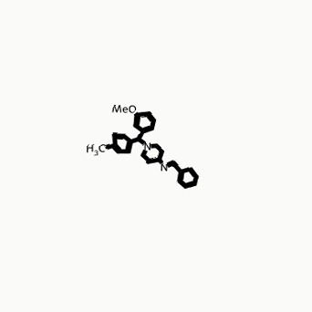 COc1cccc(C(c2ccc(C)cc2)N2CCC(/N=C/c3ccccc3)CC2)c1